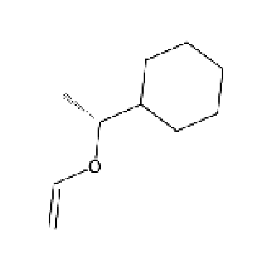 C=CO[C@H](C)C1CCCCC1